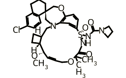 CO[C@H]1/C=C/COC(C)(C)C(=O)N=S(=O)(NC(=O)N2CCC2)c2ccc3c(c2)N(C[C@@H]2CC[C@H]21)C[C@@]1(CCCc2cc(Cl)ccc21)CO3